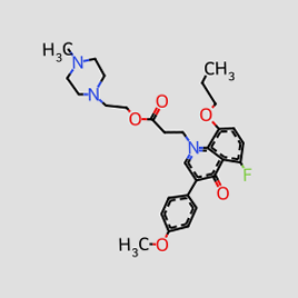 CCCOc1ccc(F)c2c(=O)c(-c3ccc(OC)cc3)cn(CCC(=O)OCCN3CCN(C)CC3)c12